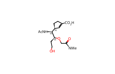 CNC(=O)CO[C@@H](CCO)[C@@H](NC(C)=O)[C@@H]1C=C(C(=O)O)CC1